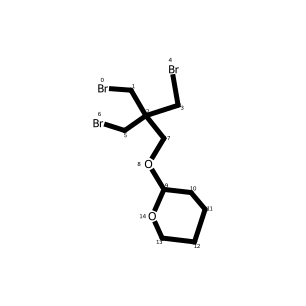 BrCC(CBr)(CBr)COC1CCCCO1